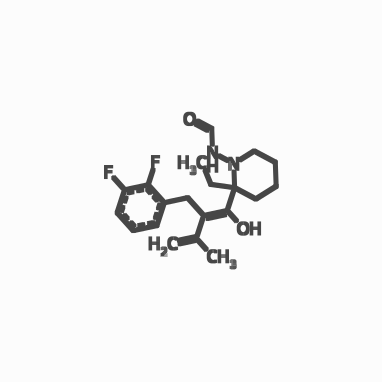 C=C(C)/C(Cc1cccc(F)c1F)=C(\O)C1(CC)CCCCN1NC=O